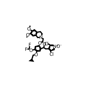 COc1cc2c(cc1OC)CN(CC(=O)OC(Cc1c(Cl)c[n+]([O-])cc1Cl)c1ccc(OC(F)F)c(OCC3CC3)c1)CC2